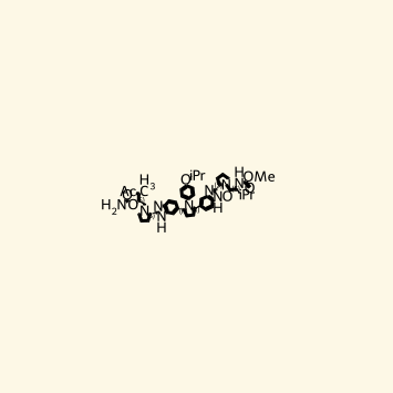 COC(=O)N[C@H](C(=O)N1CCC[C@H]1c1nc2cc([C@H]3CC[C@H](c4ccc5nc([C@@H]6CCCN6C[C@@H](OC(N)=O)C(C)C(C)=O)[nH]c5c4)N3c3ccc(OC(C)C)cc3)ccc2[nH]1)C(C)C